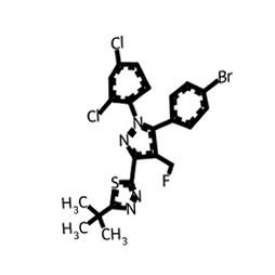 CC(C)(C)c1nnc(-c2nn(-c3ccc(Cl)cc3Cl)c(-c3ccc(Br)cc3)c2CF)s1